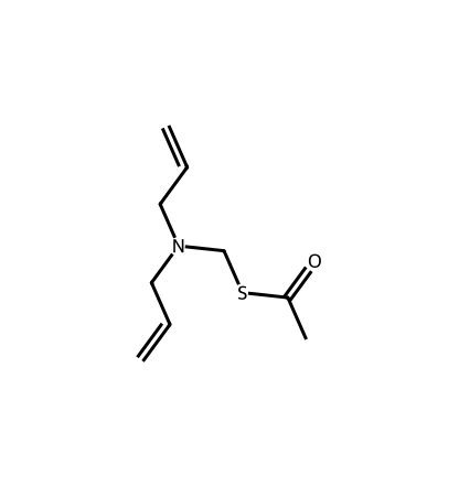 C=CCN(CC=C)CSC(C)=O